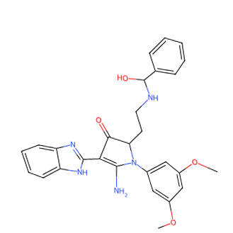 COc1cc(OC)cc(N2C(N)=C(c3nc4ccccc4[nH]3)C(=O)C2CCNC(O)c2ccccc2)c1